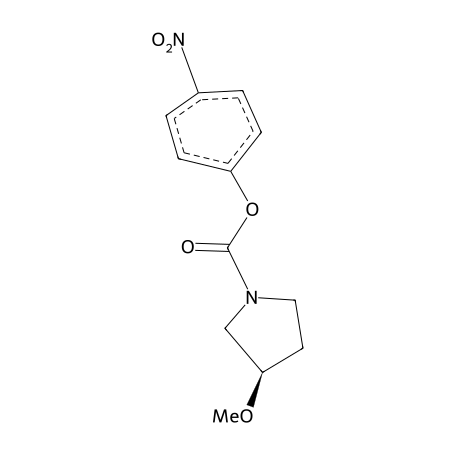 CO[C@@H]1CCN(C(=O)Oc2ccc([N+](=O)[O-])cc2)C1